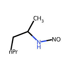 CCCCC(C)NN=O